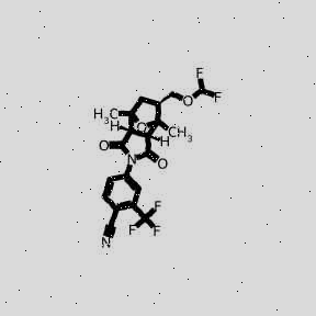 CC12C[C@@H](COC(F)F)C(C)(O1)[C@@H]1C(=O)N(c3ccc(C#N)c(C(F)(F)F)c3)C(=O)[C@@H]12